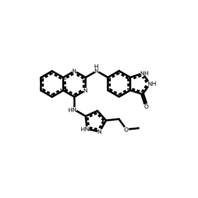 COCc1cc(Nc2nc(Nc3ccc4c(=O)[nH][nH]c4c3)nc3ccccc23)[nH]n1